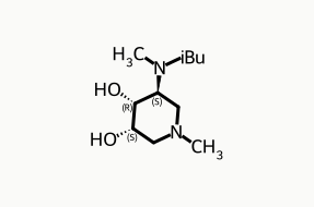 CCC(C)N(C)[C@H]1CN(C)C[C@H](O)[C@@H]1O